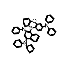 c1ccc(N(c2ccccc2)c2ccc3c(c2)Oc2cccc4c2B3c2c(cc(N(c3ccccc3)c3ccccc3)c3ccccc23)N4c2ccccc2)cc1